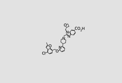 Cc1cc2c(Cl)ccc(COc3cccc(C4CCN(Cc5nc6ccc(C(=O)O)cc6n5C[C@@H]5CCO5)CC4)n3)c2o1